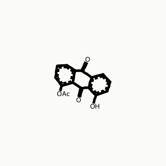 CC(=O)Oc1cccc2c1C(=O)c1c(O)cccc1C2=O